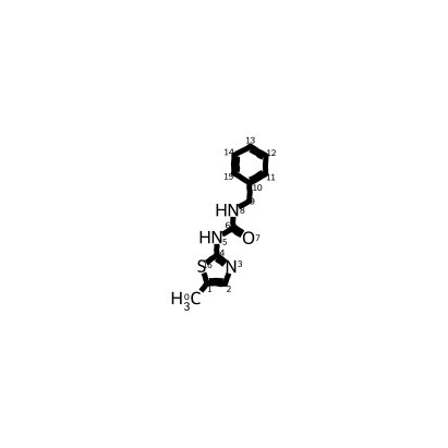 Cc1cnc(NC(=O)NCc2ccccc2)s1